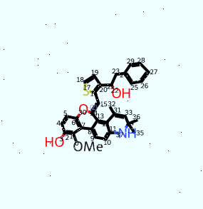 COc1c(O)ccc2c1-c1ccc3c(c1/C(=C/c1sccc1C(O)Cc1ccccc1)O2)C(C)=CC(C)(C)N3